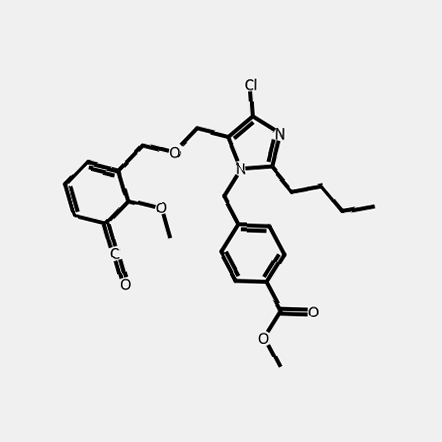 CCCCc1nc(Cl)c(COCC2=CC=CC(=C=O)C2OC)n1Cc1ccc(C(=O)OC)cc1